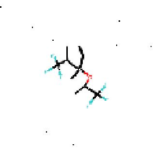 CCC(C)(OC(C)C(F)(F)F)C(C)C(F)(F)F